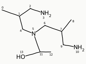 CC(CN)CN(CC(C)CN)C(C)O